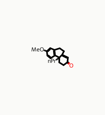 CCCC12CCC(=O)C=C1CCc1cc(OC)ccc12